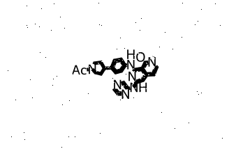 CC(=O)N1CCC(c2ccc(Nc3nc(Nc4cnccn4)cc4ccn(C)c(=O)c34)cc2)CC1